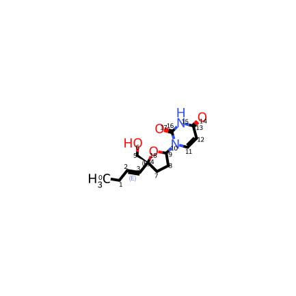 CC/C=C/[C@@]1(CO)CCC(n2ccc(=O)[nH]c2=O)O1